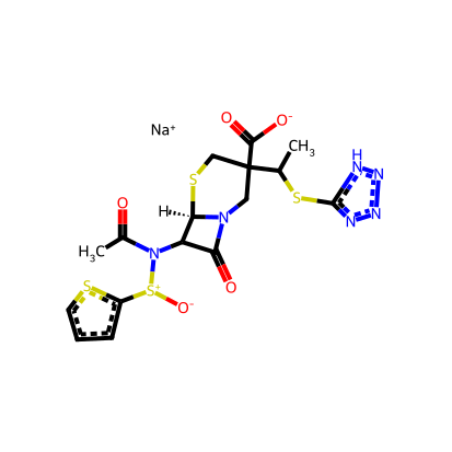 CC(=O)N(C1C(=O)N2CC(C(=O)[O-])(C(C)Sc3nnn[nH]3)CS[C@H]12)[S+]([O-])c1cccs1.[Na+]